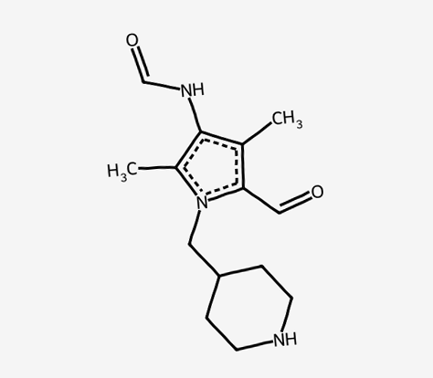 Cc1c(NC=O)c(C)n(CC2CCNCC2)c1C=O